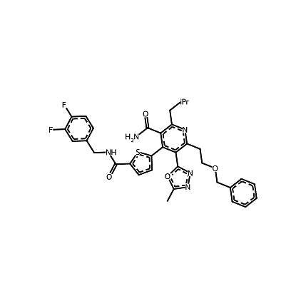 Cc1nnc(-c2c(CCOCc3ccccc3)nc(CC(C)C)c(C(N)=O)c2-c2ccc(C(=O)NCc3ccc(F)c(F)c3)s2)o1